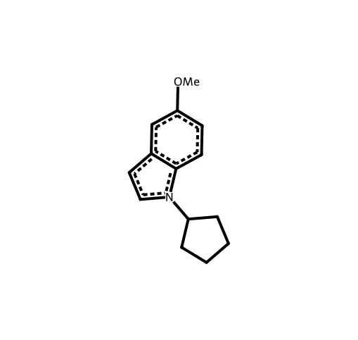 COc1ccc2c(ccn2C2CCCC2)c1